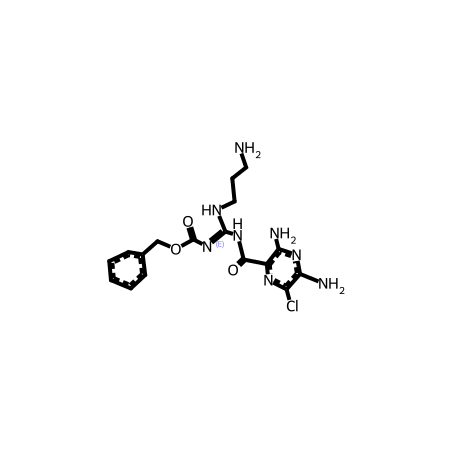 NCCCN/C(=N\C(=O)OCc1ccccc1)NC(=O)c1nc(Cl)c(N)nc1N